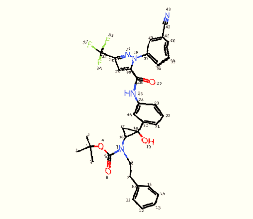 CC(C)(C)OC(=O)N(CCc1ccccc1)C1CC1(O)c1cccc(NC(=O)c2cc(C(F)(F)F)nn2-c2cccc(C#N)c2)c1